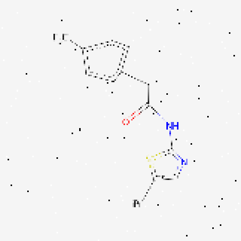 CC(C)c1cnc(NC(=O)Cc2ccc(C(F)(F)F)cc2)s1